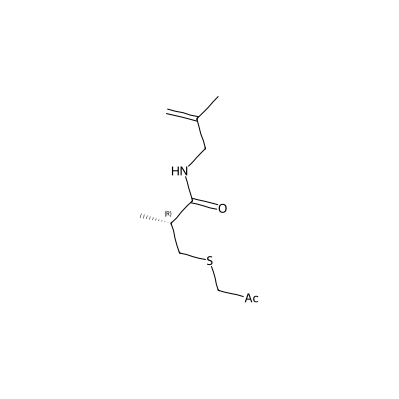 C=C(C)CNC(=O)[C@@H](C)CSCC(C)=O